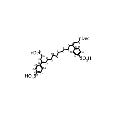 CCCCCCCCCCCCC(CCCCCCCCCCC(CCCCCCCCCCCC)c1ccc(S(=O)(=O)O)cc1)c1ccc(S(=O)(=O)O)cc1